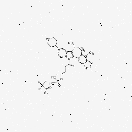 Cc1c(-c2c(C(C)C)c3cc(C4CCNCC4)ccc3n2C(=O)CCCOP(=O)(O)O)cn2ncnc2c1C.O=C(O)C(F)(F)F